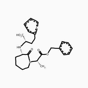 C[C@@H](C(=O)OCc1ccccc1)N1CCCC[C@H](N[C@@H](CCc2ccccc2)C(=O)O)C1=O